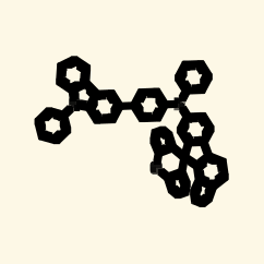 c1ccc(N(c2ccc(-c3ccc4c(c3)c3ccccc3n4-c3ccccc3)cc2)c2ccc3c(c2)C2(c4ccccc4Oc4ccccc42)c2c-3ccc3ccccc23)cc1